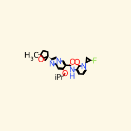 CC(C)Oc1cc2nc([C@@]34CC[C@@](C)(C3)OC4)cn2cc1C(=O)Nc1cccn([C@H]2C[C@H]2F)c1=O